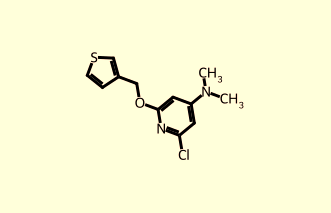 CN(C)c1cc(Cl)nc(OCc2ccsc2)c1